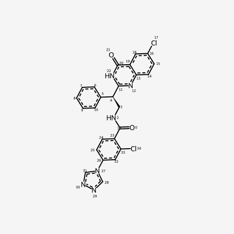 O=C(NC[C@@H](c1ccccc1)c1nc2ccc(Cl)cc2c(=O)[nH]1)c1ccc(-n2cnnc2)cc1Cl